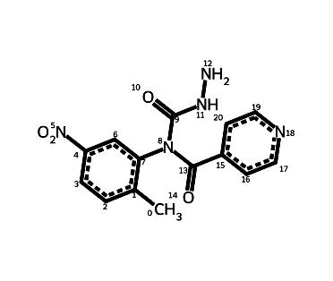 Cc1ccc([N+](=O)[O-])cc1N(C(=O)NN)C(=O)c1ccncc1